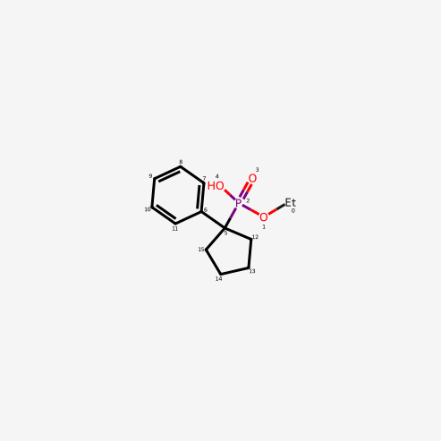 CCOP(=O)(O)C1(c2ccccc2)CCCC1